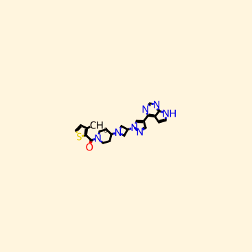 Cc1ccsc1C(=O)N1CCC(N2CC(n3cc(-c4ncnc5[nH]ccc45)cn3)C2)CC1